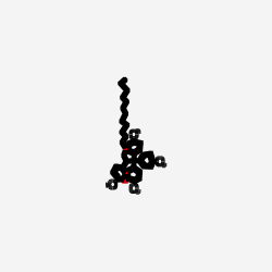 CCCCCCCCCCCCCCC(c1ccc(OC)cc1)C(c1ccc(OC)cc1)(c1ccc(OC)cc1)c1ccc(OC)cc1